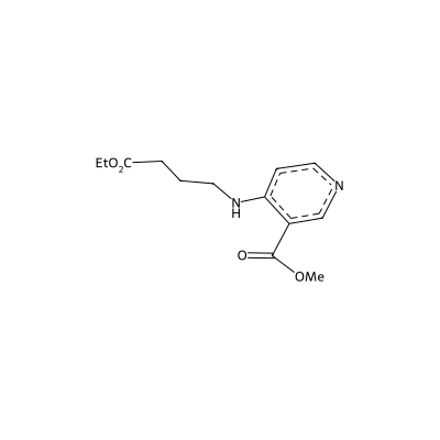 CCOC(=O)CCCNc1ccncc1C(=O)OC